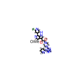 COc1cnc(-c2ccnc(F)c2)c2[nH]cc(C(=O)C(=O)N3CCN(c4nnnn4-c4ccccn4)CC3)c12